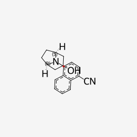 N#Cc1ccc(N2[C@@H]3CC[C@H]2CC(O)C3)c2ccccc12